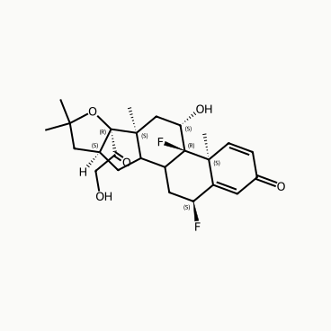 CC1(C)C[C@@H]2CC3C4C[C@H](F)C5=CC(=O)C=C[C@]5(C)[C@@]4(F)[C@@H](O)C[C@]3(C)[C@]2(C(=O)CO)O1